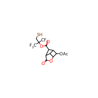 CC(=O)OC1C2OC(=O)C3C(C(=O)OC(CS)(C(F)(F)F)C(F)(F)F)C1C23